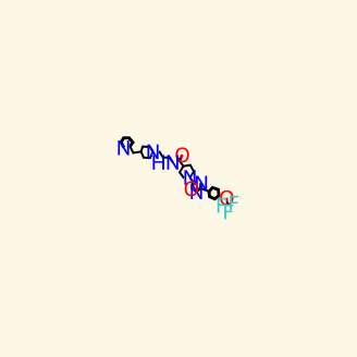 O=C(NCCCN1CCC(Cc2ccccn2)CC1)C1CCN(c2nc(-c3ccc(OC(F)(F)F)cc3)no2)CC1